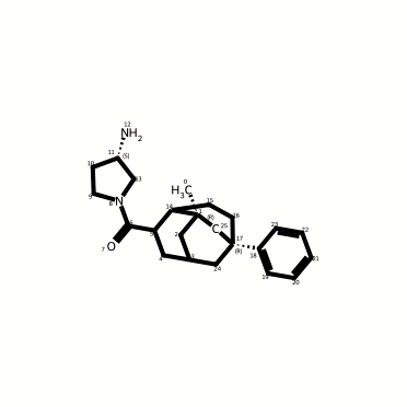 C[C@]12CC3CC(C(=O)N4CC[C@H](N)C4)C1CC[C@@](c1ccccc1)(C3)C2